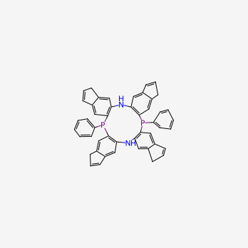 C1=Cc2cc3c(cc2C1)Nc1cc2c(cc1P(c1ccccc1)c1cc4c(cc1Nc1cc5c(cc1P3c1ccccc1)CC=C5)CC=C4)CC=C2